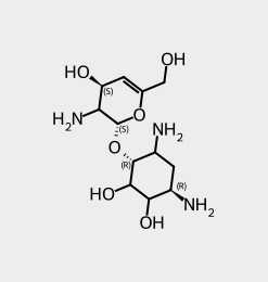 NC1C[C@@H](N)C(O)C(O)[C@@H]1O[C@H]1OC(CO)=C[C@H](O)C1N